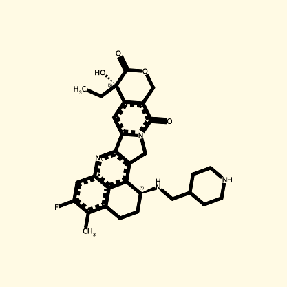 CC[C@@]1(O)C(=O)OCc2c1cc1n(c2=O)Cc2c-1nc1cc(F)c(C)c3c1c2[C@@H](NCC1CCNCC1)CC3